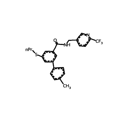 CCCSc1cc(C(=O)NCc2ccc(C(F)(F)F)nc2)cc(-c2ccc(C)cc2)c1